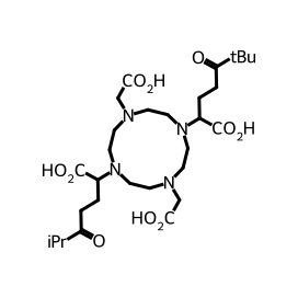 CC(C)C(=O)CCC(C(=O)O)N1CCN(CC(=O)O)CCN(C(CCC(=O)C(C)(C)C)C(=O)O)CCN(CC(=O)O)CC1